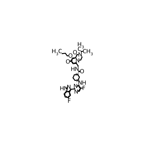 CCCCOc1c2n(c(CNC(=O)[C@H]3CCC[C@@H](Nc4nc(-c5n[nH]c6ccc(F)cc56)ncc4F)C3)cc1=O)CCN(C(C)C)C2=O